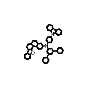 c1ccc(-c2cc(-c3ccccc3)cc(N(c3ccc(-n4c5ccccc5c5ccccc54)cc3)c3ccc4c(ccc5ccc6c7ccccc7oc6c54)c3)c2)cc1